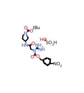 CC(C)(C)OC(=O)N1CC[C@H](NC(=O)CN(C(=N)N)C(=O)OCc2ccc([N+](=O)[O-])cc2)C1.O=S(=O)(O)O